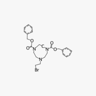 O=C(OCc1ccccc1)N1CCN(CCBr)CCN(C(=O)OCc2ccccc2)CC1